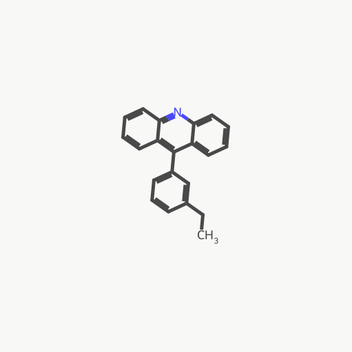 CCc1cccc(-c2c3ccccc3nc3ccccc23)c1